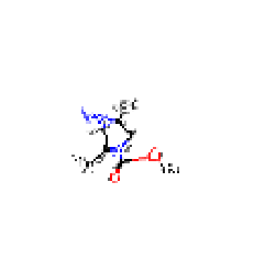 CC[C@H]1CN(C(=O)OC(C)(C)C)C(C)CN1